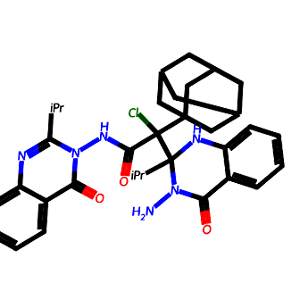 CC(C)c1nc2ccccc2c(=O)n1NC(=O)C(Cl)(C12CC3CC(CC(C3)C1)C2)C1(C(C)C)Nc2ccccc2C(=O)N1N